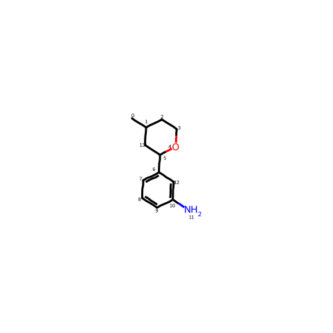 CC1CCOC(c2cccc(N)c2)C1